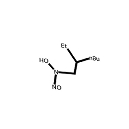 CCCCC(CC)CN(O)N=O